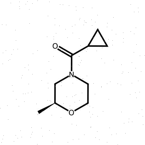 C[C@H]1CN(C(=O)C2CC2)CCO1